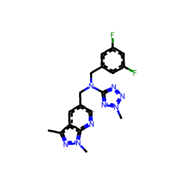 Cc1nn(C)c2n[c]c(CN(Cc3cc(F)cc(F)c3)c3nnn(C)n3)cc12